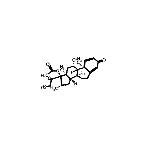 CC(=O)O[C@]1(C(=O)CS)[C@@H](C)C[C@H]2[C@@H]3CCC4=CC(=O)C=C[C@]4(C)C3(F)[C@@H](O)C[C@@]21C